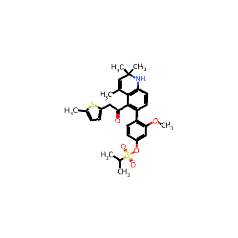 COc1cc(OS(=O)(=O)C(C)C)ccc1-c1ccc2c(c1C(=O)Cc1ccc(C)s1)C(C)=CC(C)(C)N2